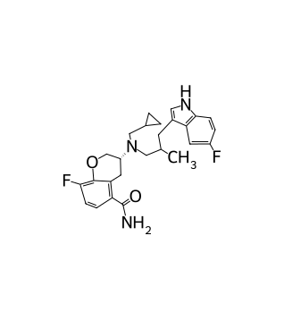 CC(Cc1c[nH]c2ccc(F)cc12)CN(CC1CC1)[C@H]1COc2c(F)ccc(C(N)=O)c2C1